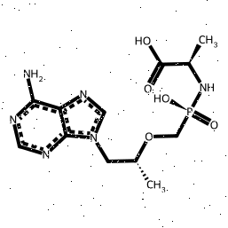 C[C@H](Cn1cnc2c(N)ncnc21)OC[P@](=O)(O)N[C@H](C)C(=O)O